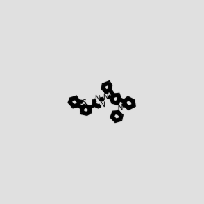 c1ccc(-n2c3ccccc3c3cc4c5ccccc5n(-c5ncc(-c6cccc7c6sc6ccccc67)cn5)c4cc32)cc1